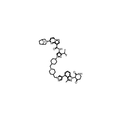 Cc1nn(C2C(=O)CCNC2=O)c2cccc(-c3cnn(CC4CCN(CC5CCC(n6cc(NC(=O)c7cnn8ccc(N9CC%10CCC(C9)O%10)nc78)c(C(F)F)n6)CC5)CC4)c3)c12